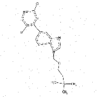 C[Si](C)(C)CCOCn1cnc2cc(-c3nc(Cl)ncc3Cl)ccc21